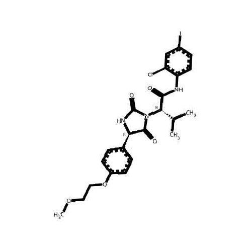 COCCOc1ccc([C@H]2NC(=O)N([C@H](C(=O)Nc3ccc(I)cc3Cl)C(C)C)C2=O)cc1